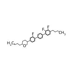 C=CCCC1CCC(c2ccc(-c3ccc(-c4ccc(CCCC)c(F)c4F)cc3)c(F)c2)CO1